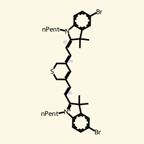 CCCCCN1/C(=C/C=C2C=C(/C=C/C3=[N+](CCCCC)c4ccc(Br)cc4C3(C)C)CSC/2)C(C)(C)c2cc(Br)ccc21